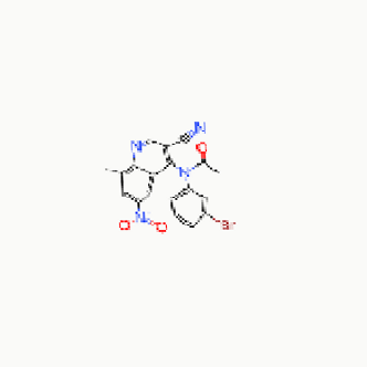 CC(=O)N(c1cccc(Br)c1)c1c(C#N)cnc2c(C)cc([N+](=O)[O-])cc12